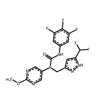 COc1ncc(N(Cc2cc(C(F)F)[nH]n2)C(=O)Nc2cc(F)c(F)c(F)c2)cn1